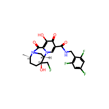 C[C@H]1CC[C@@](O)(CF)[C@H]2CN1C(=O)c1c(O)c(=O)c(C(=O)NCc3c(F)cc(F)cc3F)cn12